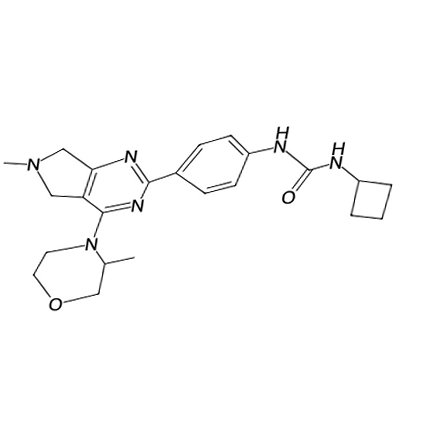 CC1COCCN1c1nc(-c2ccc(NC(=O)NC3CCC3)cc2)nc2c1CN(C)C2